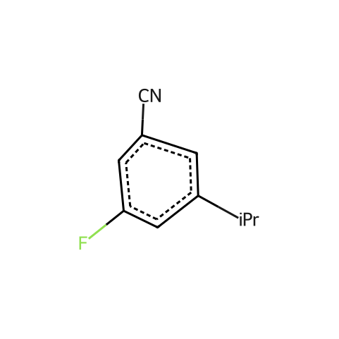 [CH2]C(C)c1cc(F)cc(C#N)c1